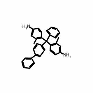 Cc1cc(N)ccc1C(c1ccccc1)(c1ccc(-c2ccccc2)cc1)c1ccc(N)cc1C